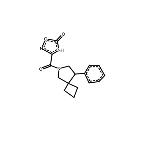 O=C(c1noc(=O)[nH]1)N1CC(c2ccccc2)C2(CCC2)C1